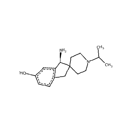 CC(C)N1CCC2(CC1)Cc1ccc(O)cc1[C@H]2N